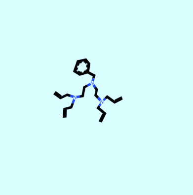 C=CCN(CC=C)CCN(CCN(CC=C)CC=C)Cc1ccccc1